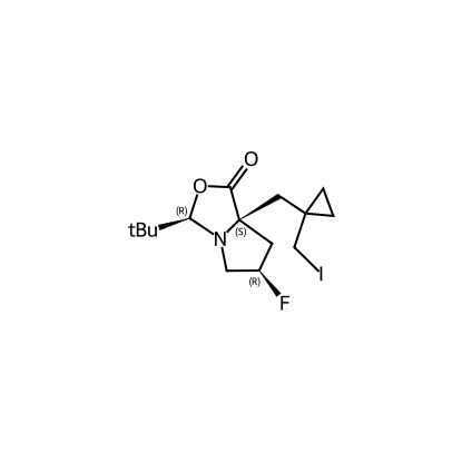 CC(C)(C)[C@H]1OC(=O)[C@]2(CC3(CI)CC3)C[C@@H](F)CN12